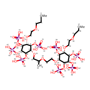 COCCOCCO[C@@H]1[C@@H](OP(=O)(O)O)[C@H](OCC(C)OCCO[C@@H]2[C@@H](OP(=O)(O)O)[C@H](OCCOCCOC)[C@@H](OP(=O)(O)O)[C@@H](OP(=O)(O)O)[C@H]2OP(=O)(O)O)[C@@H](OP(=O)(O)O)[C@H](OP(=O)(O)O)[C@H]1OP(=O)(O)O